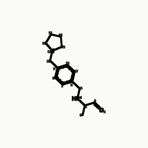 CC(C=O)NCc1ccc(CN2CCCC2)cc1